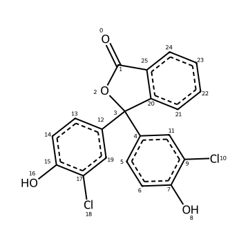 O=C1OC(c2ccc(O)c(Cl)c2)(c2ccc(O)c(Cl)c2)c2ccccc21